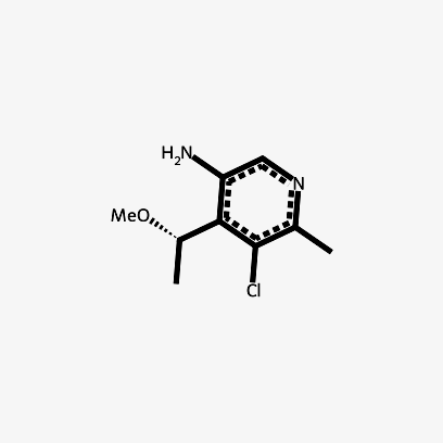 CO[C@@H](C)c1c(N)cnc(C)c1Cl